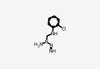 N=NN(N)CNc1ccccc1Cl